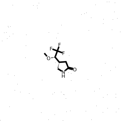 CO[C@@H]([C@H]1CNC(=O)C1)C(F)(F)F